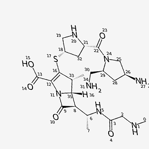 CNCC(=O)N[C@H](C)[C@H]1C(=O)N2C(C(=O)O)=C(S[C@@H]3CN[C@H](C(=O)N4C[C@@H](N)C[C@H]4CN)C3)[C@H](C)[C@H]12